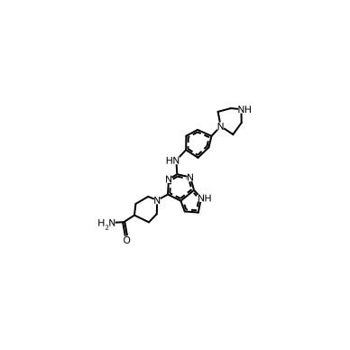 NC(=O)C1CCN(c2nc(Nc3ccc(N4CCNCC4)cc3)nc3[nH]ccc23)CC1